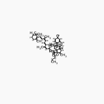 CCCC(=O)O[C@@]1(C(=O)COC(=O)C=C(C)C=CC=C(C)C=CC2=C(C)CCCC2(C)C)[C@@H](C)C[C@H]2[C@@H]3CCC4=CC(=O)C=C[C@]4(C)[C@@]3(F)[C@@H](O)C[C@@]21C